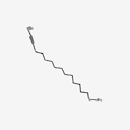 CCCSCCCCCCCCCCCCC#CC(C)(C)C